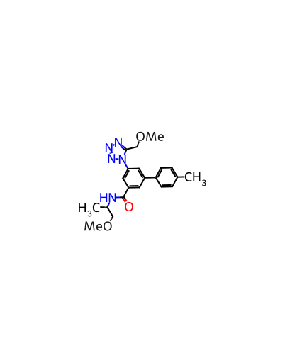 COCc1nnnn1-c1cc(C(=O)N[C@H](C)COC)cc(-c2ccc(C)cc2)c1